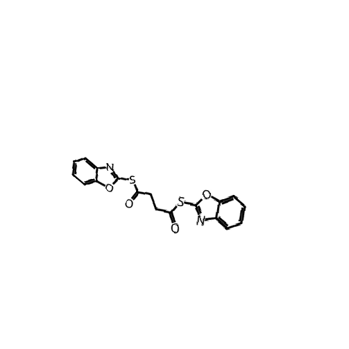 O=C(CCC(=O)Sc1nc2ccccc2o1)Sc1nc2ccccc2o1